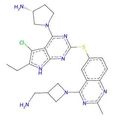 CCc1[nH]c2nc(Sc3ccc4nc(C)nc(N5CC(CN)C5)c4c3)nc(N3CC[C@@H](N)C3)c2c1Cl